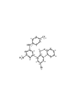 Nc1nc(Nc2ccc(C(F)(F)F)cc2)cc(-c2cc(Br)ccc2OCc2ccccc2)n1